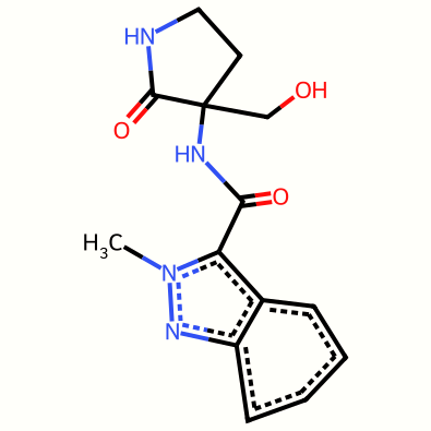 Cn1nc2ccccc2c1C(=O)NC1(CO)CCNC1=O